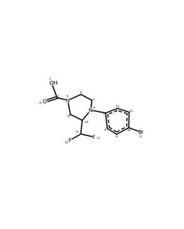 O=C(O)N1CCN(c2ccc(Br)cc2)C(C(F)F)C1